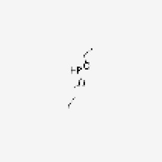 CCCCOPOCC